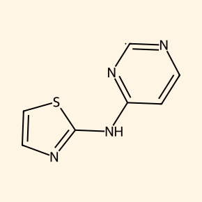 [c]1nccc(Nc2nccs2)n1